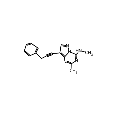 CNc1nc(C)nc2c(C#CCc3ccccc3)cnn12